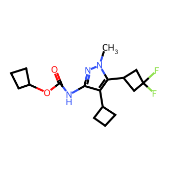 Cn1nc(NC(=O)OC2CCC2)c(C2CCC2)c1C1CC(F)(F)C1